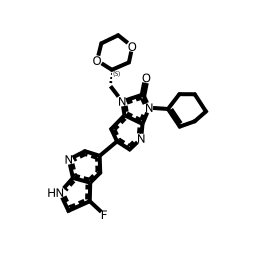 O=c1n(C[C@H]2COCCO2)c2cc(-c3cnc4[nH]cc(F)c4c3)cnc2n1C1=CCCCC1